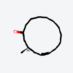 C[C@@H]1CC=CCCCCCCCCCC(=O)C1